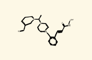 CC(N1CCN(c2ccccc2C=CC(=O)NO)CC1)N1CCCC(C=O)C1